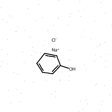 Oc1ccccc1.[Cl-].[Na+]